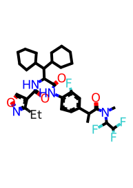 CCc1nocc1C(=O)NC(C(=O)Nc1ccc(C(C)C(=O)N(C)C(F)C(F)F)cc1F)C(C1CCCCC1)C1CCCCC1